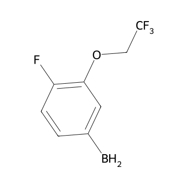 Bc1ccc(F)c(OCC(F)(F)F)c1